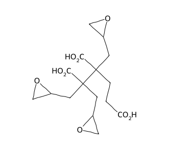 O=C(O)CCC(CC1CO1)(C(=O)O)C(CC1CO1)(CC1CO1)C(=O)O